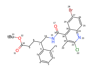 Cc1ccccc1C(CCC(=O)OC(C)(C)C)CNC(=O)c1c(C)c(Cl)nc2ccc(Br)cc12